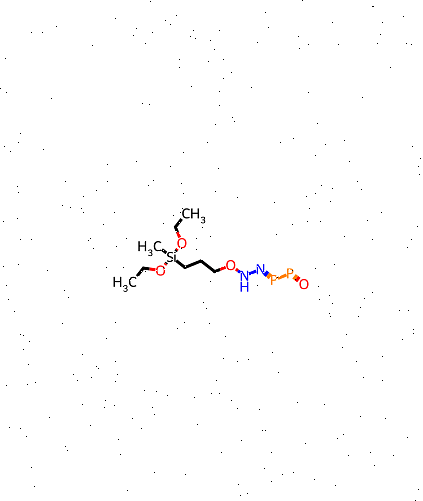 CCO[Si](C)(CCCON/N=P/P=O)OCC